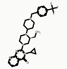 CC[C@H]1CN(c2nc3ncccc3c(=O)n2C2CC2)CCN1C1CCN(Cc2ccc(C(F)(F)F)cc2)CC1